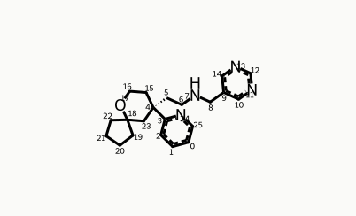 c1ccc([C@]2(CCNCc3cncnc3)CCOC3(CCCC3)C2)nc1